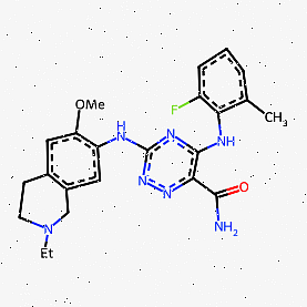 CCN1CCc2cc(OC)c(Nc3nnc(C(N)=O)c(Nc4c(C)cccc4F)n3)cc2C1